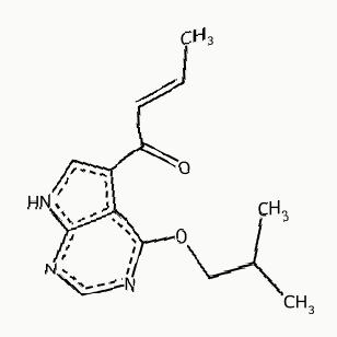 CC=CC(=O)c1c[nH]c2ncnc(OCC(C)C)c12